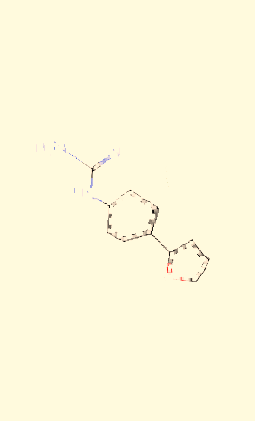 Cl.Cl.N=C(N)Nc1ccc(-c2ccco2)cc1